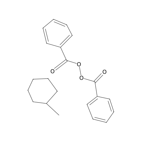 CC1CCCCC1.O=C(OOC(=O)c1ccccc1)c1ccccc1